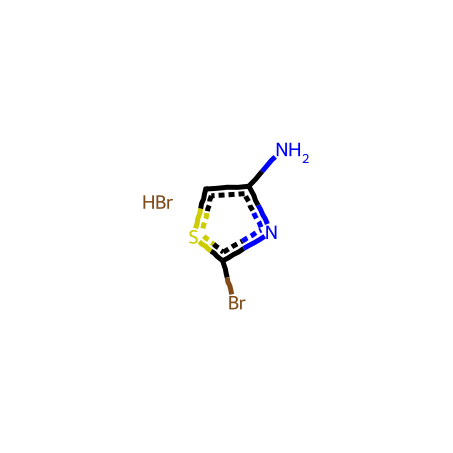 Br.Nc1csc(Br)n1